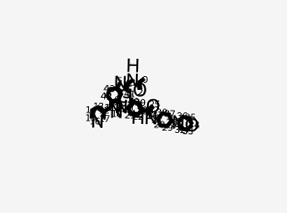 CC(=O)Nc1nc2c(s1)-c1c(c(-c3cccnc3)nn1-c1ccc(C(=O)N[C@H]3CC[C@H](N4CCOCC4)CC3)cc1Cl)CC2